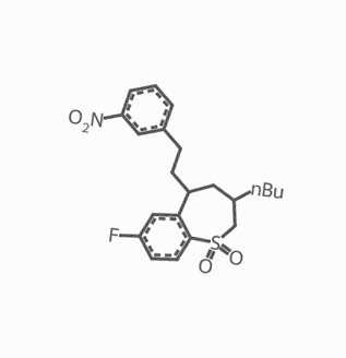 CCCCC1CC(CCc2cccc([N+](=O)[O-])c2)c2cc(F)ccc2S(=O)(=O)C1